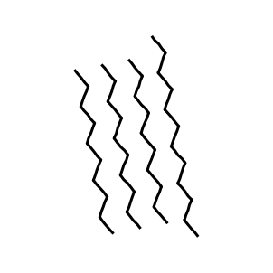 CCCCCCCCCC.CCCCCCCCCC.CCCCCCCCCC.CCCCCCCCCCCC